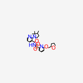 CC1CCN(c2ncccc2C(=O)NS(=O)(=O)c2cccc(OCC3CCCO3)n2)C1(C)C